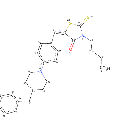 O=C(O)CCCN1C(=O)/C(=C\c2ccc(N3CCC(Cc4ccccc4)CC3)cc2)SC1=S